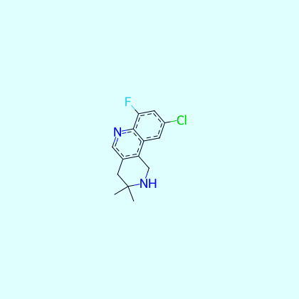 CC1(C)Cc2cnc3c(F)cc(Cl)cc3c2CN1